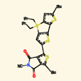 CCC(C)c1cc2c(s1)-c1sc(-c3sc(C(C)CC)c4c3C(=O)N(C#N)C4=O)cc1S2(CC(C)C)CC(C)C